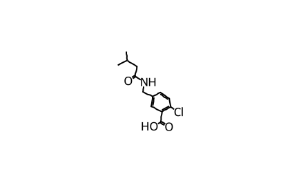 CC(C)CC(=O)NCc1ccc(Cl)c(C(=O)O)c1